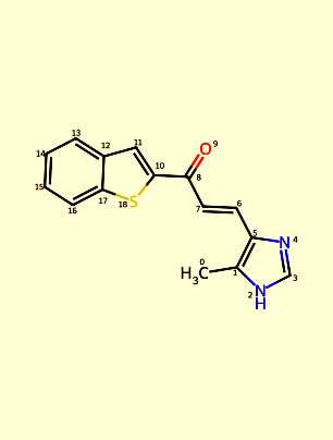 Cc1[nH]cnc1C=CC(=O)c1cc2ccccc2s1